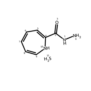 NNC(=O)C1=CC=CC=CN1.S